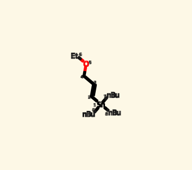 CCC[CH2][Sn]([CH]=CCOCC)([CH2]CCC)[CH2]CCC